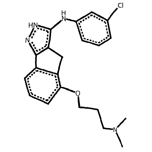 CN(C)CCCOc1cccc2c1Cc1c-2n[nH]c1Nc1cccc(Cl)c1